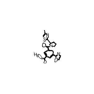 Cc1csc(C2CCCN2C(=O)c2cc(C(=O)O)cc(-c3ncco3)c2)n1